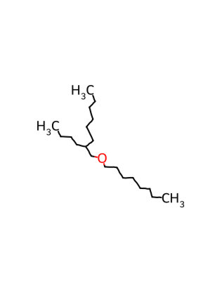 CCCCCCCCOCC(CCCC)CCCCCC